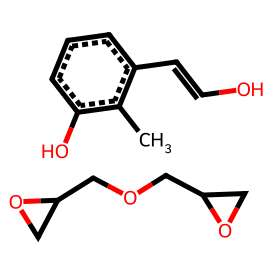 C(OCC1CO1)C1CO1.Cc1c(O)cccc1C=CO